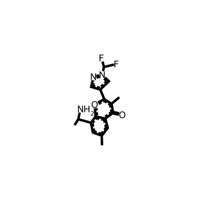 Cc1cc(C(C)N)c2oc(-c3cnn(C(F)F)c3)c(C)c(=O)c2c1